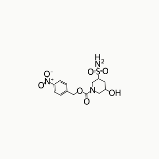 NS(=O)(=O)C1CC(O)CN(C(=O)OCc2ccc([N+](=O)[O-])cc2)C1